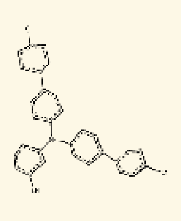 Cc1cccc(N(c2ccc(-c3ccc(Cl)cc3)cc2)c2ccc(-c3ccc(Cl)cc3)cc2)c1